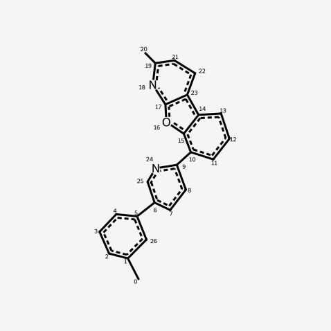 Cc1cccc(-c2ccc(-c3cccc4c3oc3nc(C)ccc34)nc2)c1